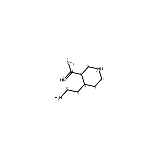 N=C(N)C1CNCCC1CCN